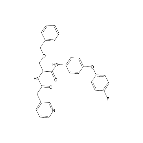 O=C(Cc1cccnc1)NC(COCc1ccccc1)C(=O)Nc1ccc(Oc2ccc(F)cc2)cc1